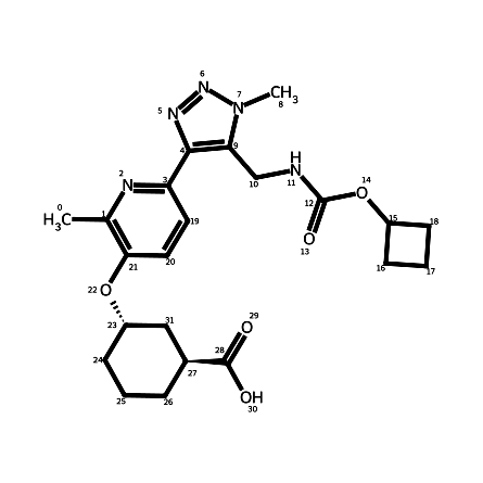 Cc1nc(-c2nnn(C)c2CNC(=O)OC2CCC2)ccc1O[C@H]1CCC[C@H](C(=O)O)C1